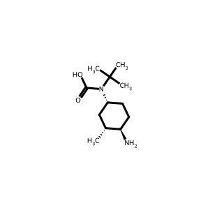 C[C@@H]1C[C@H](N(C(=O)O)C(C)(C)C)CC[C@H]1N